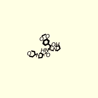 O=C(N[C@H](CN1CCCC1)[C@H](O)c1ccc2c(c1)OCCO2)[C@@H]1CCN(C2CCOCC2)C1